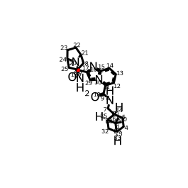 CC1(C)[C@H]2CC[C@@H](CNC(=O)c3cccc4nc(C(=O)N5C6CCC5CC(N)C6)cn34)[C@@H]1C2